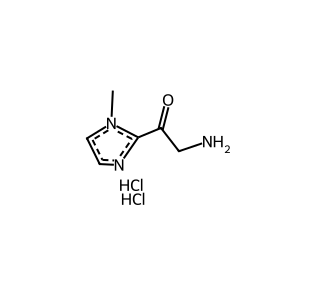 Cl.Cl.Cn1ccnc1C(=O)CN